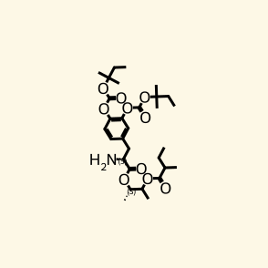 CCC(C)C(=O)OC(C)[C@H](C)OC(=O)[C@@H](N)Cc1ccc(OC(=O)OC(C)(C)CC)c(OC(=O)OC(C)(C)CC)c1